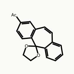 CC(=O)c1ccc2c(c1)C=Cc1ccccc1C21OCCO1